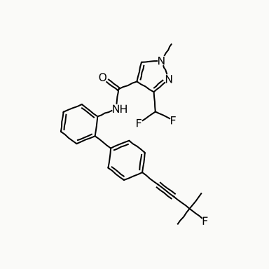 Cn1cc(C(=O)Nc2ccccc2-c2ccc(C#CC(C)(C)F)cc2)c(C(F)F)n1